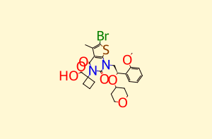 COc1ccccc1[C@H](Cn1c(=O)n(C2(C(=O)O)CCC2)c(=O)c2c(C)c(Br)sc21)OC1CCOCC1